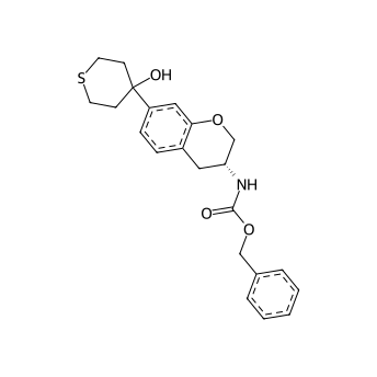 O=C(N[C@H]1COc2cc(C3(O)CCSCC3)ccc2C1)OCc1ccccc1